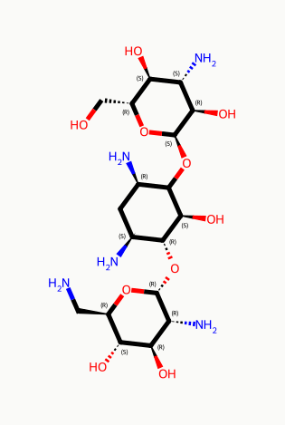 NC[C@H]1O[C@H](O[C@H]2[C@H](O)C(O[C@H]3O[C@H](CO)[C@@H](O)[C@H](N)[C@H]3O)[C@H](N)C[C@@H]2N)[C@H](N)[C@@H](O)[C@@H]1O